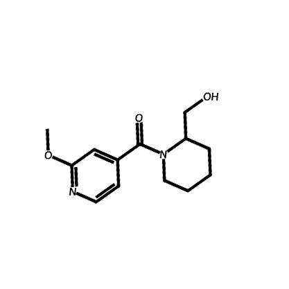 COc1cc(C(=O)N2CCCCC2CO)ccn1